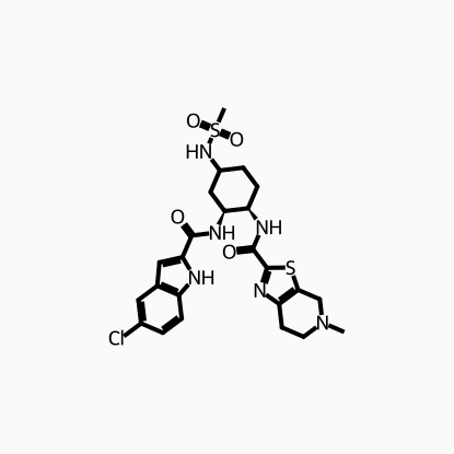 CN1CCc2nc(C(=O)N[C@@H]3CCC(NS(C)(=O)=O)C[C@@H]3NC(=O)c3cc4cc(Cl)ccc4[nH]3)sc2C1